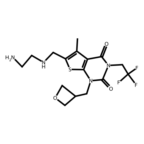 Cc1c(CNCCN)sc2c1c(=O)n(CC(F)(F)F)c(=O)n2CC1COC1